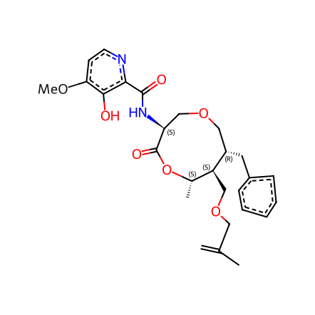 C=C(C)COC[C@@H]1[C@@H](Cc2ccccc2)COC[C@H](NC(=O)c2nccc(OC)c2O)C(=O)O[C@H]1C